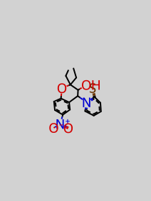 CCC1(CC)Oc2ccc([N+](=O)[O-])cc2C(n2ccccc2=S)C1O